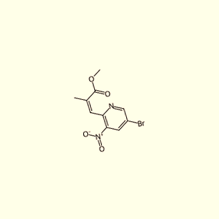 COC(=O)/C(C)=C\c1ncc(Br)cc1[N+](=O)[O-]